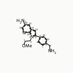 COCCn1c(-c2ccc(CN)cc2)cc2cc(N)cnc21